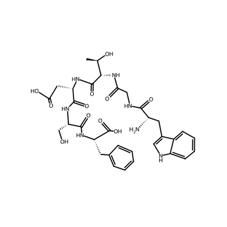 C[C@@H](O)[C@H](NC(=O)CNC(=O)[C@@H](N)Cc1c[nH]c2ccccc12)C(=O)N[C@@H](CC(=O)O)C(=O)N[C@@H](CO)C(=O)N[C@@H](Cc1ccccc1)C(=O)O